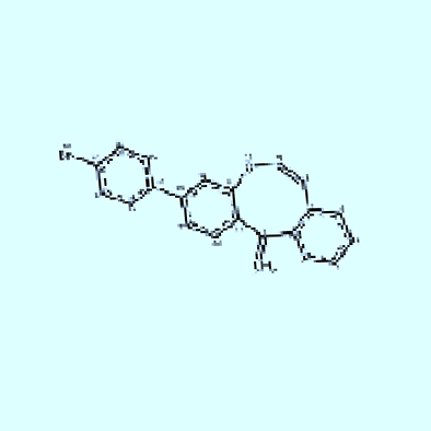 C=C1c2ccccc2/C=C\Oc2cc(-c3ccc(Br)cc3)ccc21